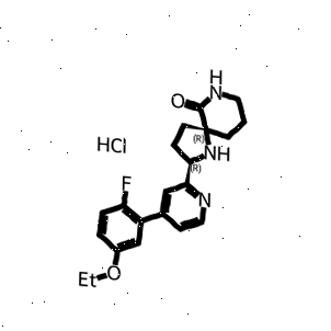 CCOc1ccc(F)c(-c2ccnc([C@H]3CC[C@@]4(CCCNC4=O)N3)c2)c1.Cl